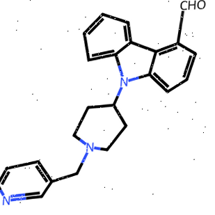 O=Cc1cccc2c1c1ccccc1n2C1CCN(Cc2cccnc2)CC1